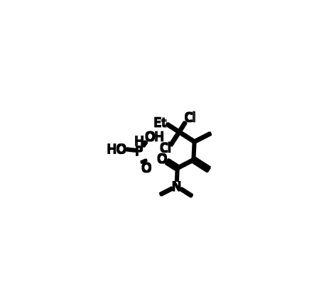 C=C(C(=O)N(C)C)C(C)C(Cl)(Cl)CC.O=[PH](O)O